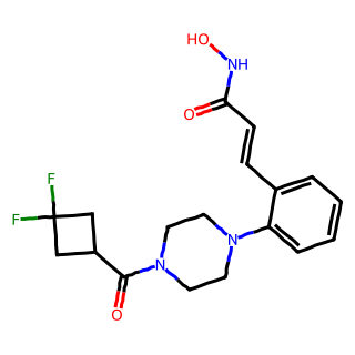 O=C(C=Cc1ccccc1N1CCN(C(=O)C2CC(F)(F)C2)CC1)NO